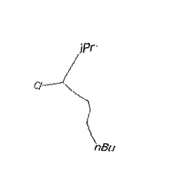 CCCCCCC(Cl)[C](C)C